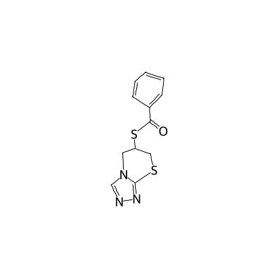 O=C(SC1CSc2nncn2C1)c1ccccc1